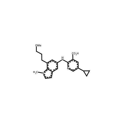 COCCCc1cc(Nc2ncc(C3CC3)cc2C(=O)O)cc2ccn(C)c12